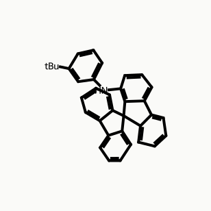 CC(C)(C)c1cccc(Nc2cccc3c2C2(c4ccccc4-c4ccccc42)c2ccccc2-3)c1